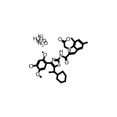 COc1cc(-c2nc(NC(=O)c3cc4cc(C)cc(C)c4n3CC(=O)[O-])sc2C(C)C2CCCCC2)c(OC)cc1Cl.O.O.O.[K+]